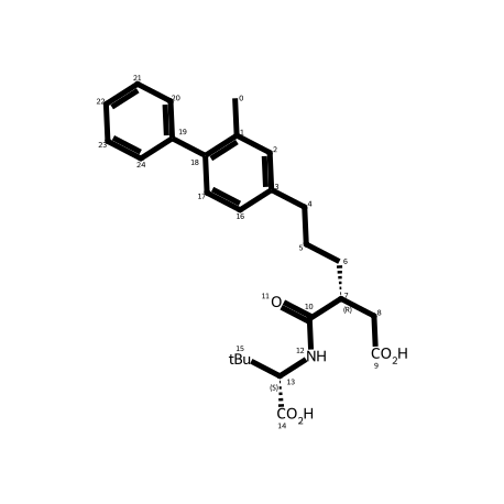 Cc1cc(CCC[C@H](CC(=O)O)C(=O)N[C@H](C(=O)O)C(C)(C)C)ccc1-c1ccccc1